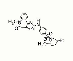 CCC1CCC(C)N(S(=O)(=O)c2ccc(Nc3ncc4c(n3)-c3ccccc3N(C)C(=O)C4)cc2)C1